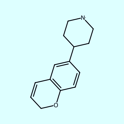 C1=Cc2cc(C3CC[N]CC3)ccc2OC1